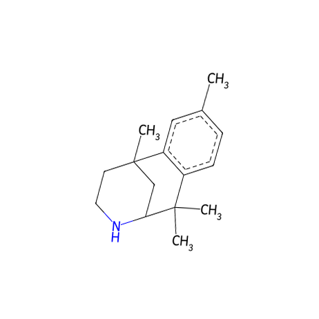 Cc1ccc2c(c1)C1(C)CCNC(C1)C2(C)C